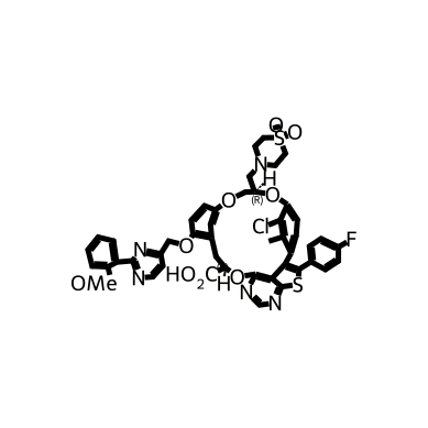 COc1ccccc1-c1nccc(COc2ccc3cc2C[C@H](C(=O)O)Oc2ncnc4sc(-c5ccc(F)cc5)c(c24)-c2ccc(c(Cl)c2C)O[C@H](CN2CCS(=O)(=O)CC2)CO3)n1